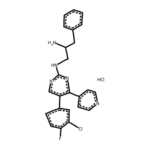 Cl.NC(CNc1ncc(-c2ccc(F)c(Cl)c2)c(-c2ccncc2)n1)Cc1ccccc1